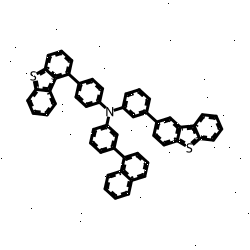 c1cc(-c2ccc3sc4ccccc4c3c2)cc(N(c2ccc(-c3cccc4sc5ccccc5c34)cc2)c2cccc(-c3cccc4ccccc34)c2)c1